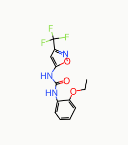 CCOc1ccccc1NC(=O)Nc1cc(C(F)(F)F)no1